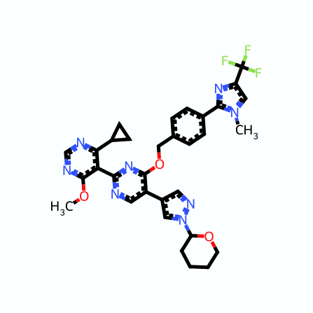 COc1ncnc(C2CC2)c1-c1ncc(-c2cnn(C3CCCCO3)c2)c(OCc2ccc(-c3nc(C(F)(F)F)cn3C)cc2)n1